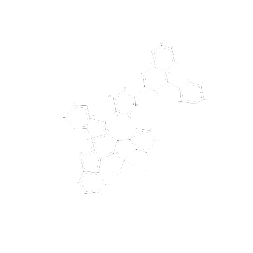 CC1(C)c2ccccc2-c2c1c1c3ccccc3oc1c1c3ccccc3n(-c3ccc(-c4nc(-c5ccccc5)c5ccccc5n4)cc3)c21